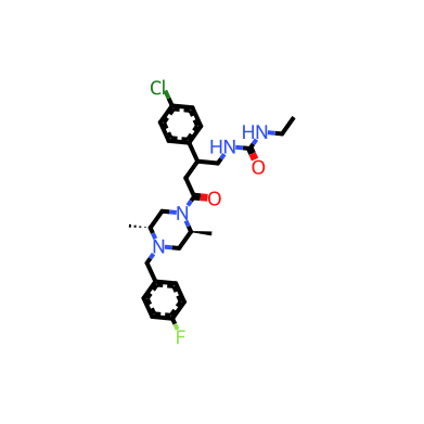 CCNC(=O)NCC(CC(=O)N1C[C@@H](C)N(Cc2ccc(F)cc2)C[C@@H]1C)c1ccc(Cl)cc1